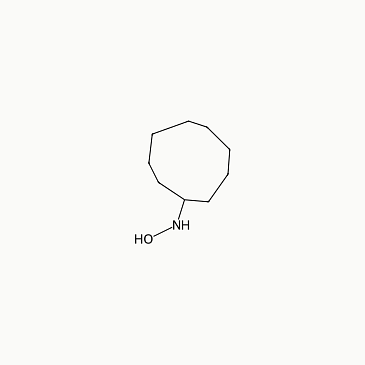 ONC1CCCCCCCC1